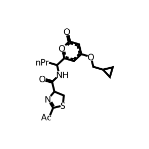 CCCC(NC(=O)C1CSC(C(C)=O)=N1)c1cc(OCC2CC2)cc(=O)o1